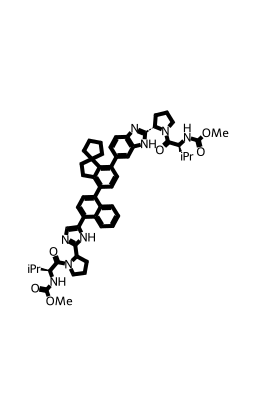 COC(=O)N[C@H](C(=O)N1CCCC1c1ncc(-c2ccc(-c3ccc(-c4ccc5nc([C@@H]6CCCN6C(=O)[C@@H](NC(=O)OC)C(C)C)[nH]c5c4)c4c3CCC43CCCC3)c3ccccc23)[nH]1)C(C)C